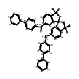 CC1(C)CC2(CC(C)(C)c3ccc(Nc4ccc(-c5ccccc5)cc4)cc32)c2cc(Nc3ccc(-c4ccccc4)cc3)ccc21